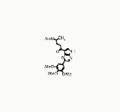 COc1cc(-c2cnc3[nH]cc(C(=O)CCC(C)OC)c3n2)cc(OC)c1OC